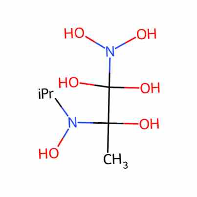 CC(C)N(O)C(C)(O)C(O)(O)N(O)O